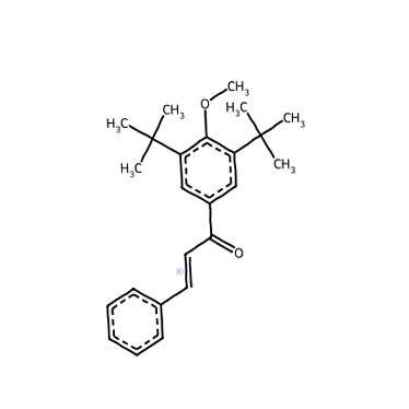 COc1c(C(C)(C)C)cc(C(=O)/C=C/c2ccccc2)cc1C(C)(C)C